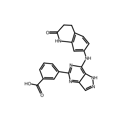 O=C1CCc2ccc(Nc3nc(-c4cccc(C(=O)O)c4)nc4cn[nH]c34)cc2N1